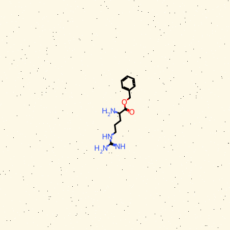 N=C(N)NCCCC(N)C(=O)OCc1ccccc1